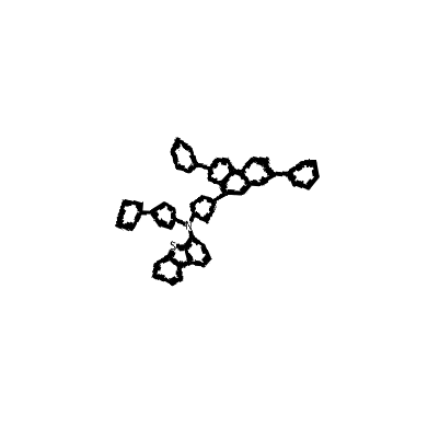 c1ccc(-c2ccc(N(c3ccc(-c4cc5cc(-c6ccccc6)ccc5c5ccc(-c6ccccc6)cc45)cc3)c3cccc4c3sc3ccccc34)cc2)cc1